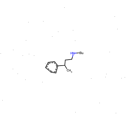 CC(CCNC(C)(C)C)c1ccccc1